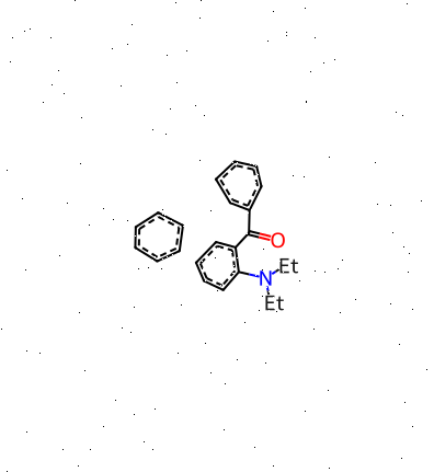 CCN(CC)c1ccccc1C(=O)c1ccccc1.c1ccccc1